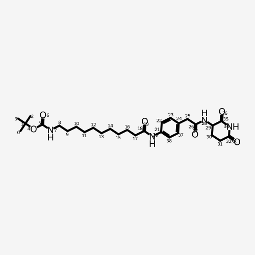 CC(C)(C)OC(=O)NCCCCCCCCCCC(=O)Nc1ccc(CC(=O)NC2CCC(=O)NC2=O)cc1